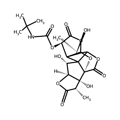 C[C@@H]1[C@@H](O)C2OC(=O)[C@]34OC5OC(=O)[C@H](OC(=O)NC(C)(C)C)C51C23[C@@H](O)[C@@H]1OC(=O)[C@@H](C)[C@@]14O